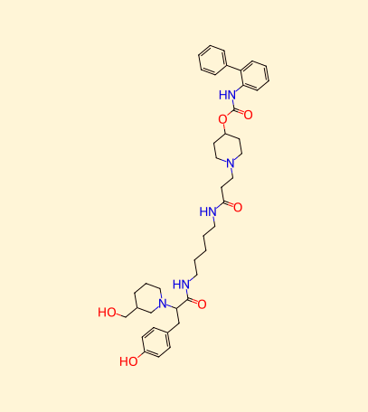 O=C(CCN1CCC(OC(=O)Nc2ccccc2-c2ccccc2)CC1)NCCCCCNC(=O)C(Cc1ccc(O)cc1)N1CCCC(CO)C1